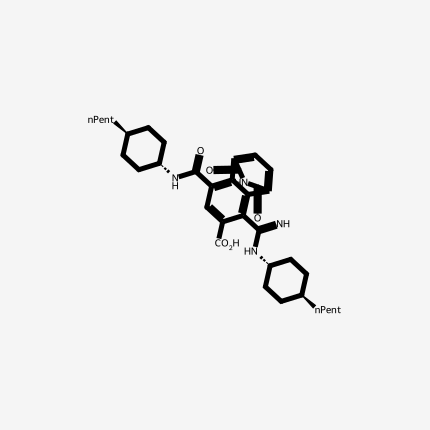 CCCCC[C@H]1CC[C@H](NC(=N)c2c(C(=O)O)cc(C(=O)N[C@H]3CC[C@H](CCCCC)CC3)c3c4ccc(c(=O)[nH]c4=O)c23)CC1